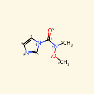 CON(C)C(=O)n1ccnc1